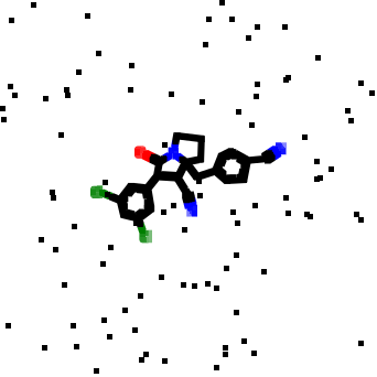 N#CC1=C(c2cc(Cl)cc(Cl)c2)C(=O)N2CCCC12Cc1ccc(C#N)cc1